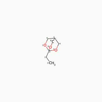 CCC12OC[C](CO1)CO2